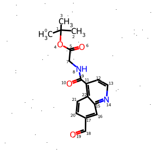 CC(C)(C)OC(=O)CNC(=O)c1ccnc2cc(C=O)ccc12